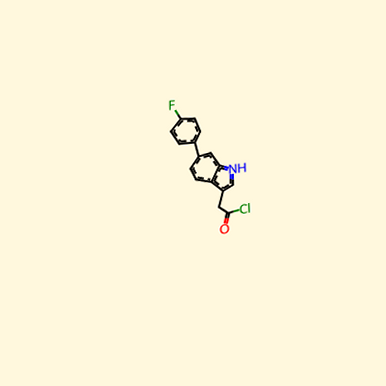 O=C(Cl)Cc1c[nH]c2cc(-c3ccc(F)cc3)ccc12